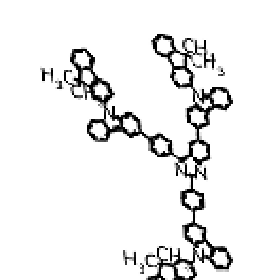 CC1(C)c2ccccc2-c2ccc(-n3c4ccccc4c4cc(-c5ccc(-c6nc(-c7ccc(-c8ccc9c(c8)c8ccccc8n9-c8ccc9c(c8)C(C)(C)c8ccccc8-9)cc7)c7cc(-c8ccc9c(c8)c8ccccc8n9-c8ccc9c(c8)C(C)(C)c8ccccc8-9)ccc7n6)cc5)ccc43)cc21